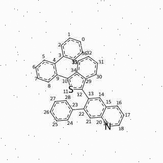 c1ccc(-c2ccccc2-c2sc(-c3cc4cccnc4cc3-c3ccccc3)c3ccccc23)cc1